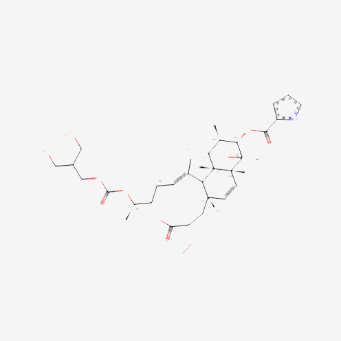 CO[C@H]1C[C@H]2C=C[C@H]3[C@H]4O[C@]2(/C(C)=C/[C@@H](C)[C@@H]([C@@H](C)OC(=O)OCC(CO)CO)OC1=O)[C@@H]3[C@H](O)[C@@H](C)[C@H]4OC(=O)c1ccc[nH]1